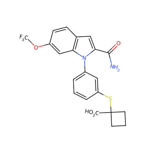 NC(=O)c1cc2ccc(OC(F)(F)F)cc2n1-c1cccc(SC2(C(=O)O)CCC2)c1